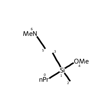 CCC[Si](C)(C)OC.CNC